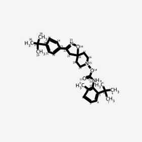 Cc1cccc(C(C)(C)C)c1NC(=O)ON1CCC2(CC1)CC(c1ccc(C(C)(C)C)cc1)=NO2